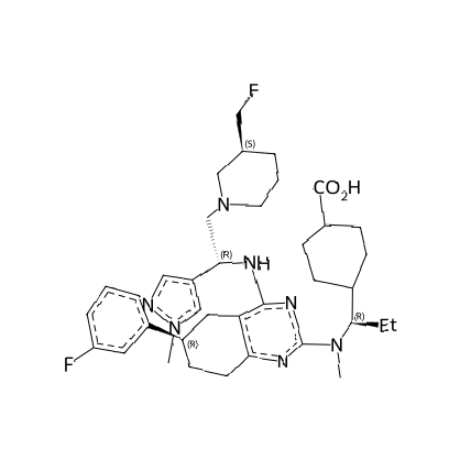 CC[C@H](C1CCC(C(=O)O)CC1)N(C)c1nc2c(c(N[C@@H](CN3CCC[C@H](CF)C3)c3cnn(C)c3)n1)C[C@H](c1cccc(F)c1)CC2